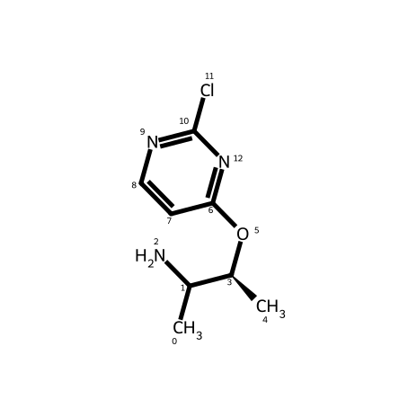 CC(N)[C@H](C)Oc1ccnc(Cl)n1